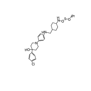 CC(C)OSONC1CCC(CNc2ccc(N3CCC(O)(c4ccc(Cl)cc4)CC3)cc2)CC1